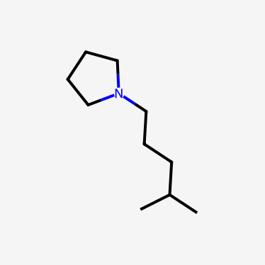 CC(C)CCCN1CCCC1